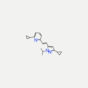 CC(C)n1nc(C2CC2)cc1/C=C/c1cccc(C2CC2)n1